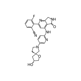 N#Cc1cccc(F)c1-c1cc(Nc2ccc(N3CC[C@@]4(C[C@H](O)CO4)C3)cn2)c2c(n1)CNC2=O